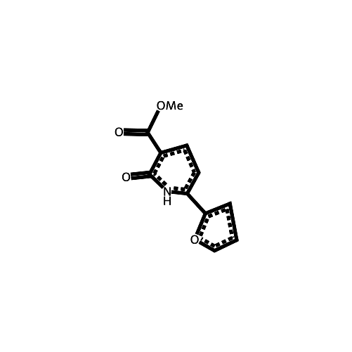 COC(=O)c1ccc(-c2ccco2)[nH]c1=O